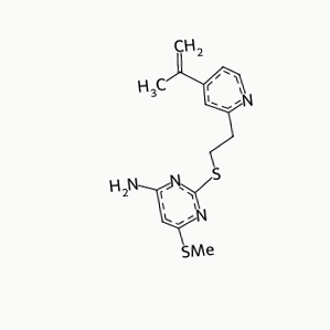 C=C(C)c1ccnc(CCSc2nc(N)cc(SC)n2)c1